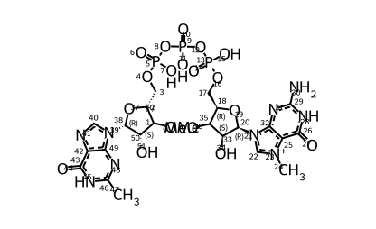 COC1[C@@H](COP(=O)(O)OP(=O)(O)OP(=O)(O)OC[C@H]2O[C@@H](n3c[n+](C)c4c(=O)[nH]c(N)nc43)[C@@H](O)C2OC)O[C@@H](n2cnc3c(=O)[nH]c(C)nc32)[C@H]1O